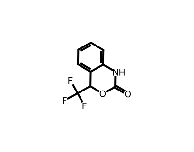 O=C1Nc2ccccc2C(C(F)(F)F)O1